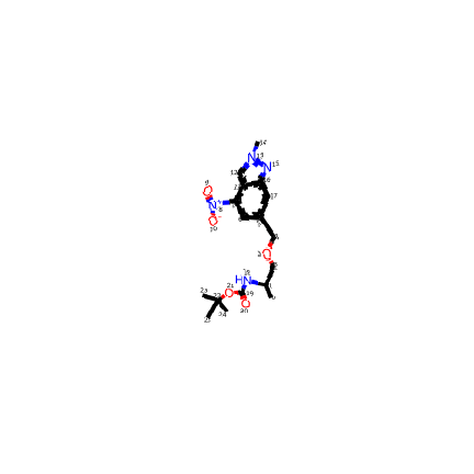 CC(COCc1cc([N+](=O)[O-])c2cn(C)nc2c1)NC(=O)OC(C)(C)C